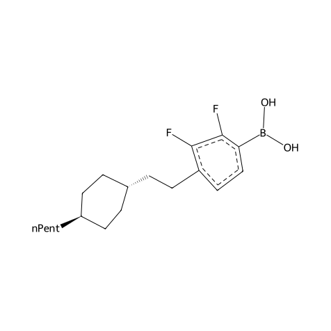 CCCCC[C@H]1CC[C@H](CCc2ccc(B(O)O)c(F)c2F)CC1